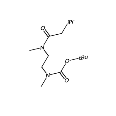 CC(C)CC(=O)N(C)CCN(C)C(=O)OC(C)(C)C